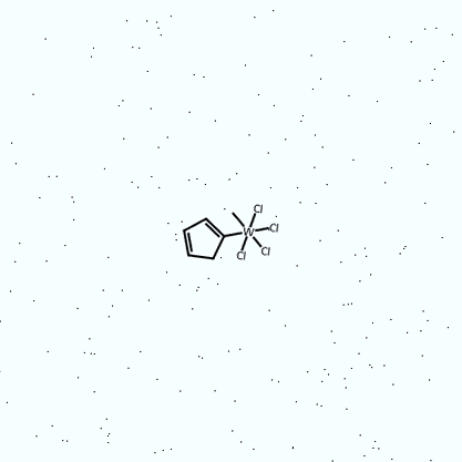 [CH3][W]([Cl])([Cl])([Cl])([Cl])[C]1=CC=CC1